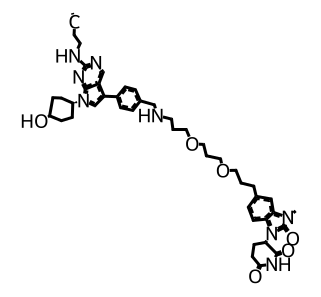 CCCCNc1ncc2c(-c3ccc(CNCCCOCCCOCCCc4ccc5c(c4)n(C)c(=O)n5C4CCC(=O)NC4=O)cc3)cn([C@H]3CC[C@H](O)CC3)c2n1